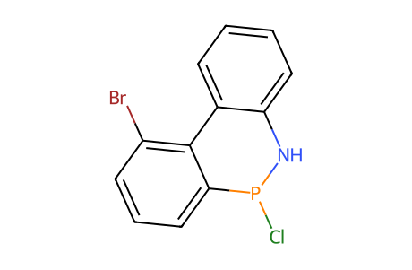 ClP1Nc2ccccc2-c2c(Br)cccc21